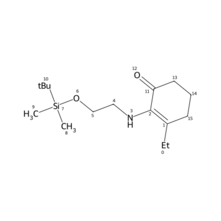 CCC1=C(NCCO[Si](C)(C)C(C)(C)C)C(=O)CCC1